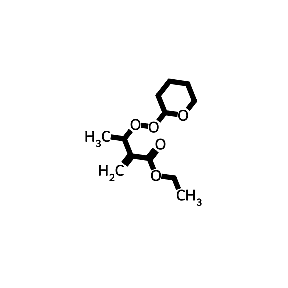 C=C(C(=O)OCC)C(C)OOC1CCCCO1